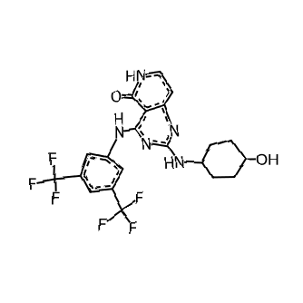 O=c1[nH]ccc2nc(NC3CCC(O)CC3)nc(Nc3cc(C(F)(F)F)cc(C(F)(F)F)c3)c12